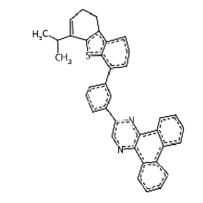 CC(C)C1=CCCc2c1sc1c(-c3cccc(-c4cnc5c6ccccc6c6ccccc6c5n4)c3)cccc21